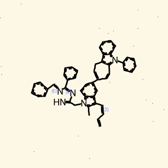 C=C/C=C\c1c(C)n(CC(=N)/N=C(\N=C\c2ccccc2)c2ccccc2)c2ccc(C3=CCc4c(n(-c5ccccc5)c5ccccc45)C=C3)cc12